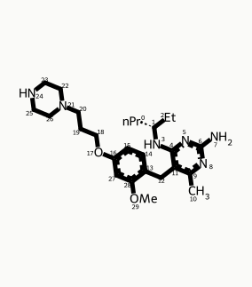 CCC[C@H](CC)Nc1nc(N)nc(C)c1Cc1ccc(OCCCN2CCNCC2)cc1OC